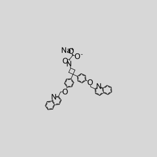 O=C([O-])C1ON1C1CC(c2ccc(OCc3ccc4ccccc4n3)cc2)(c2ccc(OCc3ccc4ccccc4n3)cc2)C1.[Na+]